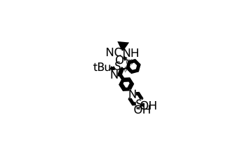 CC(C)(C)c1nc(-c2ccc(N3CCS(O)(O)CC3)cc2)c([C@@H]2CCCC[C@H]2C(=O)NC2(C#N)CC2)s1